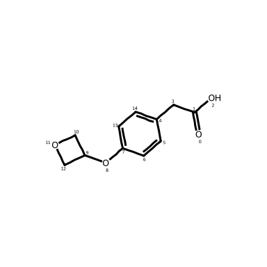 O=C(O)Cc1ccc(OC2COC2)cc1